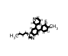 CCCCn1cnc2cc(-c3ccc(C)c(F)c3)c(-c3cccnc3)cc21